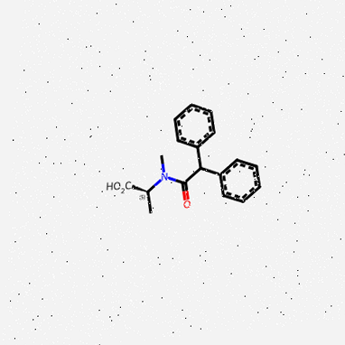 C[C@@H](C(=O)O)N(C)C(=O)C(c1ccccc1)c1ccccc1